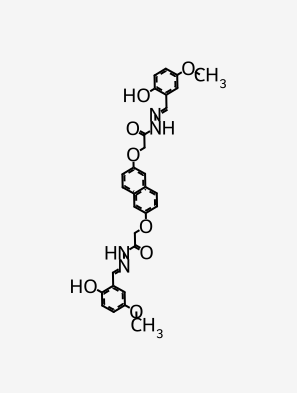 COc1ccc(O)c(C=NNC(=O)COc2ccc3cc(OCC(=O)NN=Cc4cc(OC)ccc4O)ccc3c2)c1